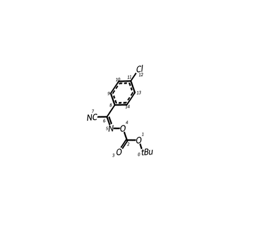 CC(C)(C)OC(=O)O/N=C(/C#N)c1ccc(Cl)cc1